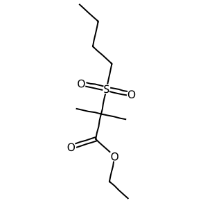 CCCCS(=O)(=O)C(C)(C)C(=O)OCC